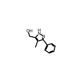 Cc1c(-c2ccccc2)n[nH]c1CO